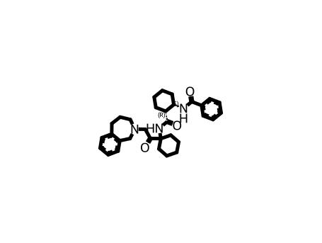 O=C(N[C@H]1CCCC[C@H]1C(=O)NC1(C(=O)CN2CCCc3ccccc3C2)CCCCC1)c1ccccc1